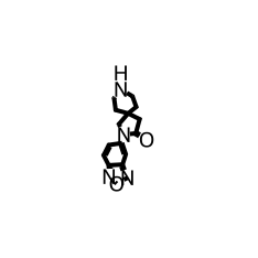 O=C1CC2(CCNCC2)CN1c1ccc2nonc2c1